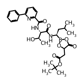 CC(C)C[C@H](NC(=O)[C@@H](NC(=O)c1cccc(-c2ccccc2)n1)[C@@H](C)O)B1OC(=O)C(CC(=O)OC(C)(C)C)O1